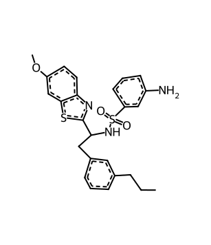 CCCc1cccc(CC(NS(=O)(=O)c2cccc(N)c2)c2nc3ccc(OC)cc3s2)c1